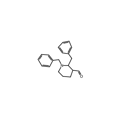 O=CC1CCCN(Cc2ccccc2)C1Cc1ccccc1